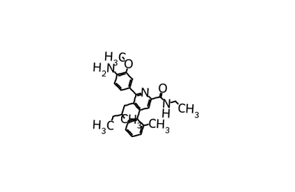 CCNC(=O)c1cc(-c2ccccc2C)c(CC(C)CC)c(-c2ccc(N)c(OC)c2)n1